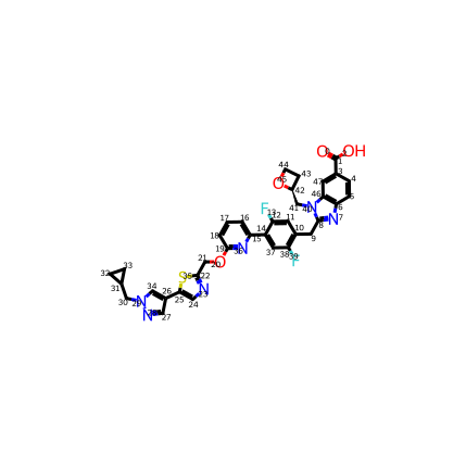 O=C(O)c1ccc2nc(Cc3cc(F)c(-c4cccc(OCc5ncc(-c6cnn(CC7CC7)c6)s5)n4)cc3F)n(C[C@@H]3CCO3)c2c1